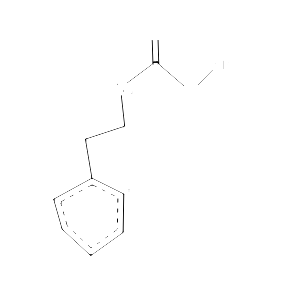 CCCCOC(=O)N[CH]Cc1ccccc1